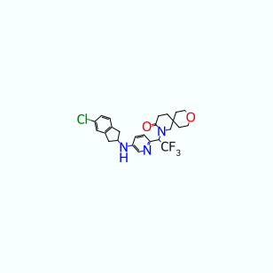 O=C1CCC2(CCOCC2)CN1C(c1ccc(NC2Cc3ccc(Cl)cc3C2)cn1)C(F)(F)F